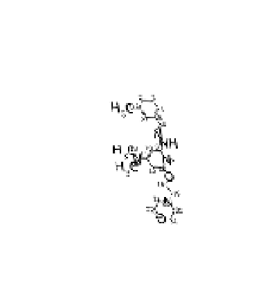 Cc1cccc(C=NNc2cc(N(C)C)cc(OCCN3CCOCC3)n2)c1